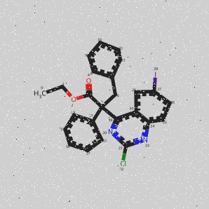 CCOC(=O)C(Cc1ccccc1)(c1ccccc1)c1nc(Cl)nc2ccc(I)cc12